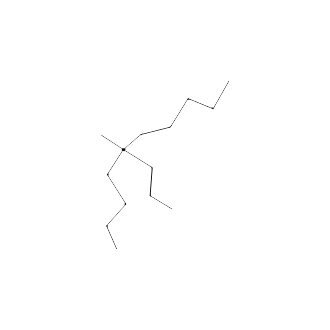 CCCCCC(C)(CCC)CCCC